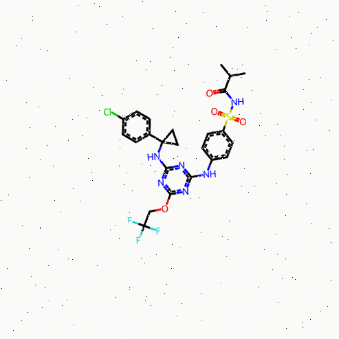 CC(C)C(=O)NS(=O)(=O)c1ccc(Nc2nc(NC3(c4ccc(Cl)cc4)CC3)nc(OCC(F)(F)F)n2)cc1